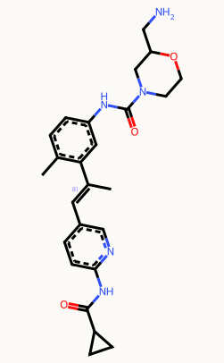 C/C(=C\c1ccc(NC(=O)C2CC2)nc1)c1cc(NC(=O)N2CCOC(CN)C2)ccc1C